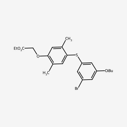 CCOC(=O)COc1cc(C)c(Sc2cc(Br)cc(OCC(C)C)c2)cc1C